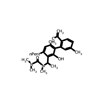 C=C(C)c1ccc(C)cc1-c1c(O)cc(CCCCC)c(C(C)N(C)C(=O)N(C)C)c1O